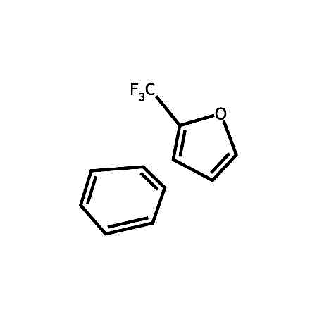 FC(F)(F)c1ccco1.c1ccccc1